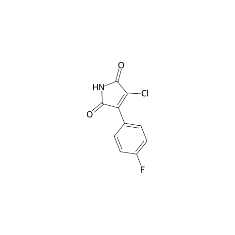 O=C1NC(=O)C(c2ccc(F)cc2)=C1Cl